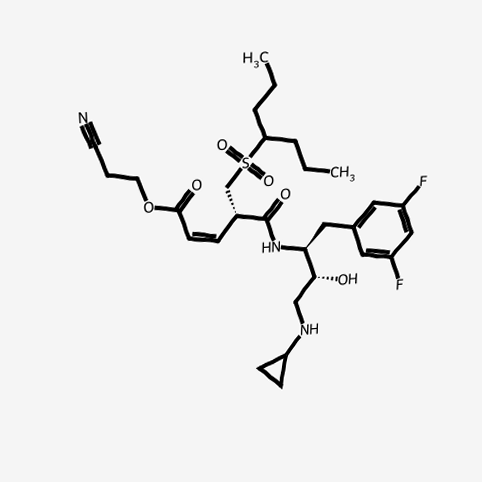 CCCC(CCC)S(=O)(=O)C[C@@H](/C=C\C(=O)OCCC#N)C(=O)N[C@@H](Cc1cc(F)cc(F)c1)[C@H](O)CNC1CC1